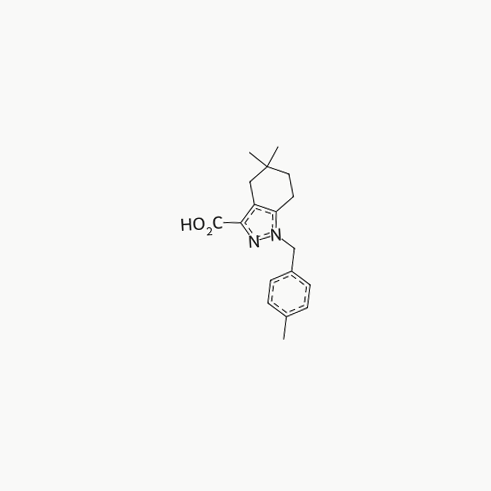 Cc1ccc(Cn2nc(C(=O)O)c3c2CCC(C)(C)C3)cc1